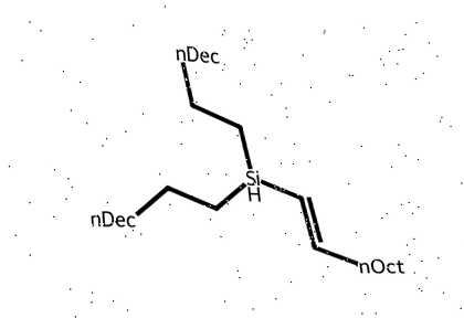 CCCCCCCCC=C[SiH](CCCCCCCCCCCC)CCCCCCCCCCCC